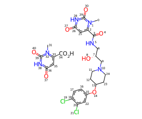 Cn1c(C(=O)NC[C@@H](O)CN2CCC(Oc3ccc(Cl)c(Cl)c3)CC2)cc(=O)[nH]c1=O.Cn1c(C(=O)O)cc(=O)[nH]c1=O